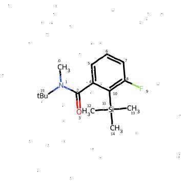 CN(C(=O)c1cccc(F)c1[Si](C)(C)C)C(C)(C)C